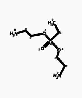 CCP(=O)(OCCN)OCCN